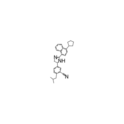 CC(C)Cc1ccc(C2CN=C(c3ccc(C4CCCC4)c4ccccc34)N2)cc1C#N